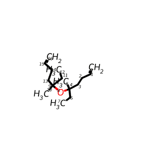 C=CCCC(C)(CC)OC(C)(CC)CCC=C